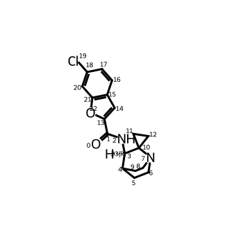 O=C(N[C@@H]1C2CCN(CC2)C12CC2)c1cc2ccc(Cl)cc2o1